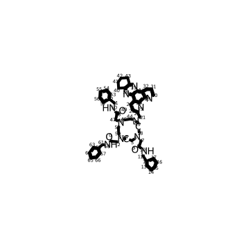 O=C(CN1CCN(CC(=O)NCc2ccccc2)CCN(Cc2ccc3c(n2)c2ncccc2c2nc4c(nc32)CCCC4)CCN(CC(=O)NCc2ccccc2)CC1)NCc1ccccc1